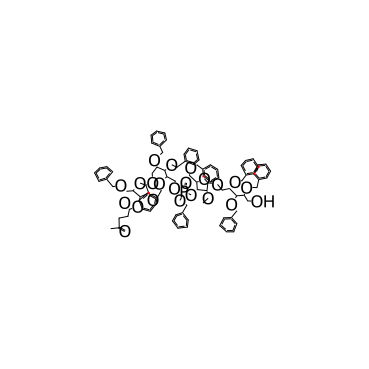 COC1C(OCC(OCc2ccccc2)C(OCc2ccccc2)C(COP(=O)(OCc2ccccc2)OC2C(COCc3ccccc3)OC(OCC(OCc3ccccc3)C(OCc3ccccc3)C(CO)OCc3ccccc3)C2OC)OCc2ccccc2)OC(COCc2ccccc2)C1OC(=O)CCC(C)=O